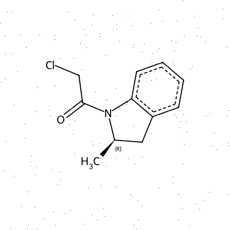 C[C@@H]1Cc2ccccc2N1C(=O)CCl